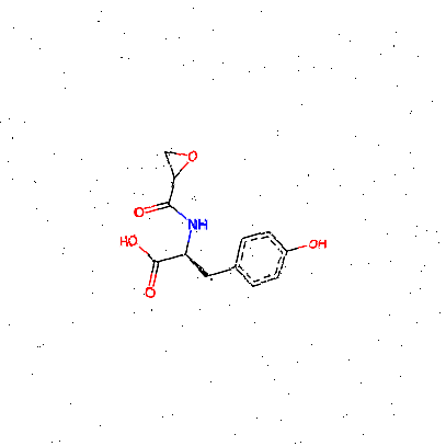 O=C(N[C@@H](Cc1ccc(O)cc1)C(=O)O)C1CO1